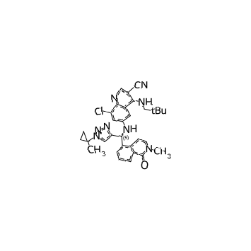 Cn1ccc2c([C@H](Nc3cc(Cl)c4ncc(C#N)c(NCC(C)(C)C)c4c3)c3cn(C4(C)CC4)nn3)cccc2c1=O